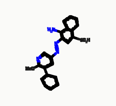 COc1ncc(/N=N/c2cc(S(=O)(=O)O)c3ccccc3c2N)cc1-c1ccccc1